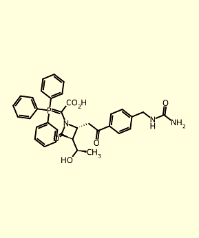 C[C@@H](O)[C@H]1C(=O)N(C(C(=O)O)=P(c2ccccc2)(c2ccccc2)c2ccccc2)[C@@H]1CC(=O)c1ccc(CNC(N)=O)cc1